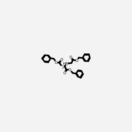 O=C(CN[C@@H](CC(=O)OCc1ccccc1)C(=O)OCc1ccccc1)OCc1ccccc1